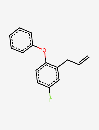 C=CCc1cc(F)ccc1Oc1ccccc1